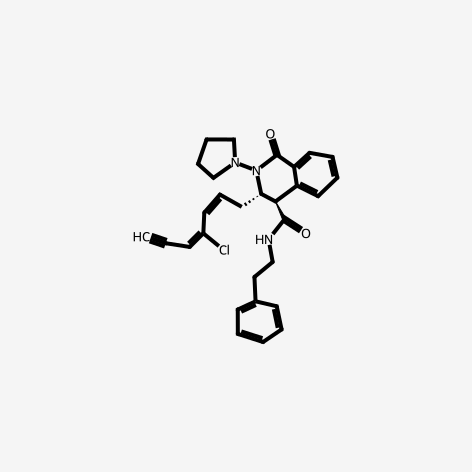 C#C/C=C(Cl)\C=C/C[C@H]1[C@H](C(=O)NCCc2ccccc2)c2ccccc2C(=O)N1N1CCCC1